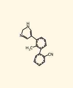 Cc1c(C2=CNCN=C2)cccc1-c1ccccc1C#N